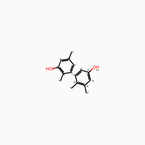 Cc1ccc(C)c(O)c1.Cc1ccc(O)cc1C